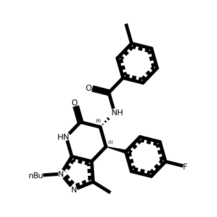 CCCCn1nc(C)c2c1NC(=O)[C@H](NC(=O)c1cccc(C)c1)[C@H]2c1ccc(F)cc1